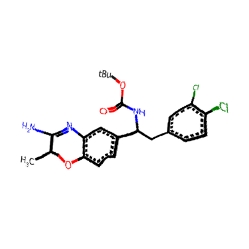 CC1Oc2ccc(C(Cc3ccc(Cl)c(Cl)c3)NC(=O)OC(C)(C)C)cc2N=C1N